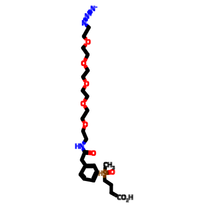 C[SH](=O)(CCCC(=O)O)c1cccc(CC(=O)NCCOCCOCCOCCOCCOCCN=[N+]=[N-])c1